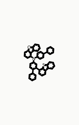 c1ccc(-c2ccc(N(c3ccc(-c4ccccc4)c(-c4cccc5c4sc4ccccc45)c3)c3cccc4oc5ccccc5c34)cc2)cc1